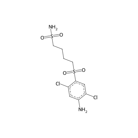 Nc1cc(Cl)c(S(=O)(=O)CCCCS(N)(=O)=O)cc1Cl